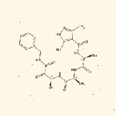 Cc1n[nH]c(C)c1C(=O)N[C@H](C(=O)N[C@@H](C)C(=O)N[C@H](C(=O)C(=O)NCc1ccccc1)C(C)C)C(C)(C)C